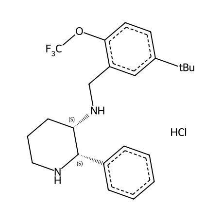 CC(C)(C)c1ccc(OC(F)(F)F)c(CN[C@H]2CCCN[C@H]2c2ccccc2)c1.Cl